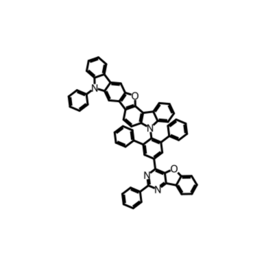 c1ccc(-c2nc(-c3cc(-c4ccccc4)c(-n4c5ccccc5c5c6oc7cc8c9ccccc9n(-c9ccccc9)c8cc7c6ccc54)c(-c4ccccc4)c3)c3oc4ccccc4c3n2)cc1